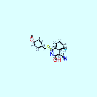 COc1ccc(CSc2nc(O)c(C#N)c3c(F)cccc23)cc1